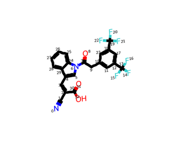 N#CC(=Cc1cn(C(=O)Cc2cc(C(F)(F)F)cc(C(F)(F)F)c2)c2ccccc12)C(=O)O